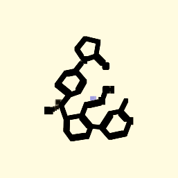 CC[C@H](c1ccc(N2CCCC2=O)cc1)c1cccc(-c2ccnc(C)c2)c1/C=N/O